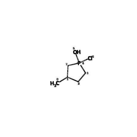 CC1CC[P](O)(Cl)C1